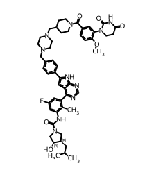 COc1ccc(C(=O)N2CCC(CN3CCN(Cc4ccc(-c5cc6c(-c7cc(F)cc(NC(=O)N8C[C@@H](CC(C)C)[C@@H](O)C8)c7C)ncnc6[nH]5)cc4)CC3)CC2)cc1N1CCC(=O)NC1=O